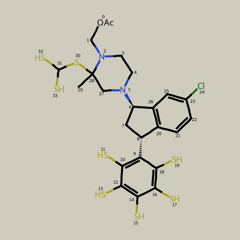 CC(=O)OCN1CCN([C@@H]2C[C@@H](c3c(S)c(S)c(S)c(S)c3S)c3ccc(Cl)cc32)CC1(C)SC(S)S